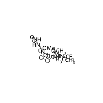 COc1nc(-c2cccc(-c3cccc(-c4cc5c(=O)n(C)c(CNCC(C)(C)C(F)(F)F)nn5c4)c3Cl)c2Cl)ccc1CNC[C@@H]1CCC(=O)N1